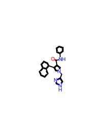 O=C(Nc1ccccc1)c1cn(Cc2c[nH]cn2)cc1-c1cccc2ccccc12